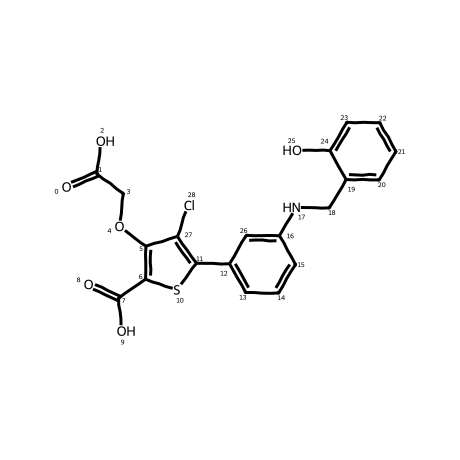 O=C(O)COc1c(C(=O)O)sc(-c2cccc(NCc3ccccc3O)c2)c1Cl